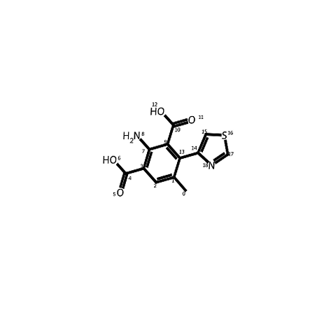 Cc1cc(C(=O)O)c(N)c(C(=O)O)c1-c1cscn1